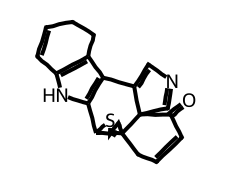 O=C1C=CCC23C=CSC2c2[nH]c4c(c2C2=CN=CC123)CCC=C4